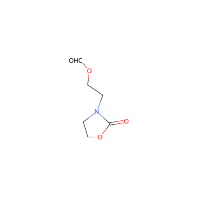 O=COCCN1CCOC1=O